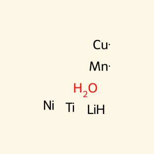 O.[Cu].[LiH].[Mn].[Ni].[Ti]